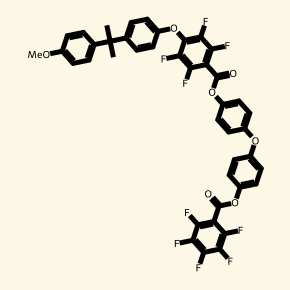 COc1ccc(C(C)(C)c2ccc(Oc3c(F)c(F)c(C(=O)Oc4ccc(Oc5ccc(OC(=O)c6c(F)c(F)c(F)c(F)c6F)cc5)cc4)c(F)c3F)cc2)cc1